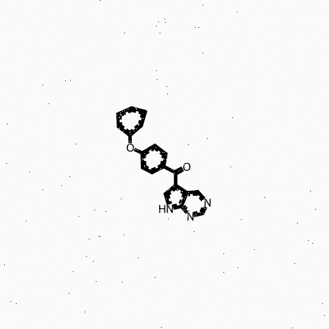 O=C(c1ccc(Oc2ccccc2)cc1)c1c[nH]c2ncncc12